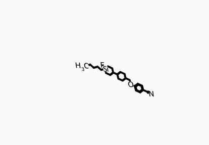 CCCCC[Si]1(F)CCC(C2CCC(COc3ccc(C#N)cc3)CC2)CC1